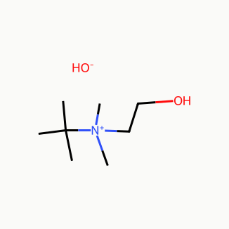 CC(C)(C)[N+](C)(C)CCO.[OH-]